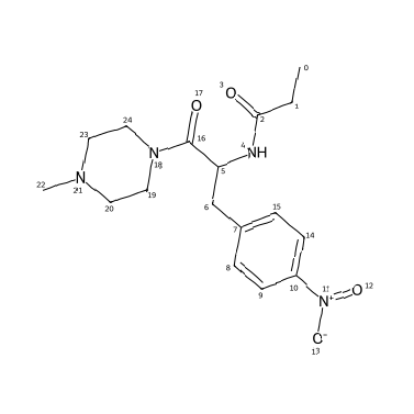 CCC(=O)NC(Cc1ccc([N+](=O)[O-])cc1)C(=O)N1CCN(C)CC1